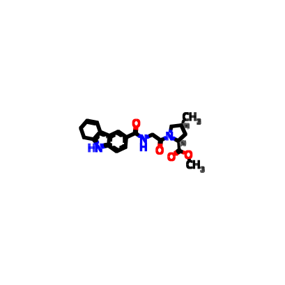 COC(=O)[C@@H]1C[C@@H](C)CN1C(=O)CNC(=O)c1ccc2[nH]c3c(c2c1)C=CCC3